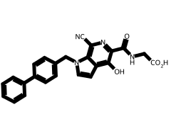 N#Cc1nc(C(=O)NCC(=O)O)c(O)c2ccn(Cc3ccc(-c4ccccc4)cc3)c12